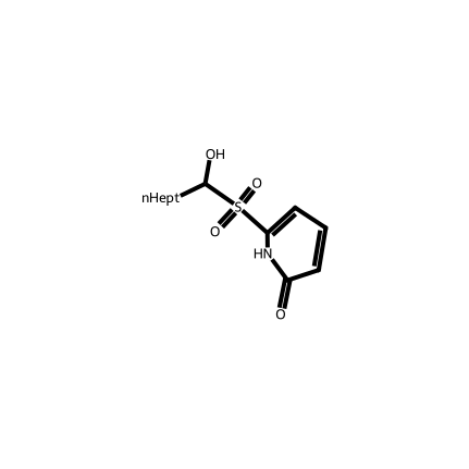 CCCCCCCC(O)S(=O)(=O)c1cccc(=O)[nH]1